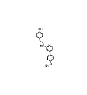 CCOc1ccc(-c2ccnc(NCCc3ccc(O)cc3)n2)cc1